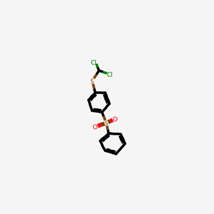 O=S(=O)(c1ccccc1)c1ccc(SC(Cl)Cl)cc1